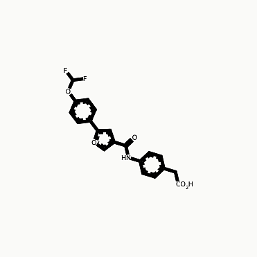 O=C(O)Cc1ccc(NC(=O)c2coc(-c3ccc(OC(F)F)cc3)c2)cc1